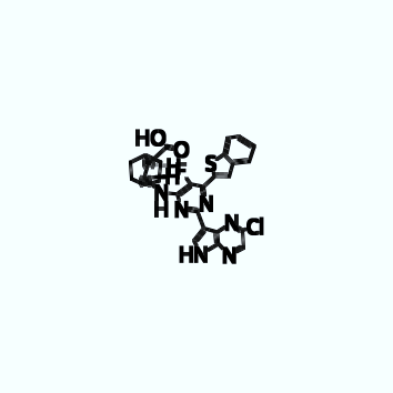 O=C(O)[C@@H]1C2CCC(CC2)[C@H]1Nc1nc(-c2c[nH]c3ncc(Cl)nc23)nc(-c2cc3ccccc3s2)c1F